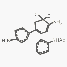 CC(=O)Nc1ccccc1.NC1=CC=C(c2ccc(N)cc2)CC1(Cl)Cl